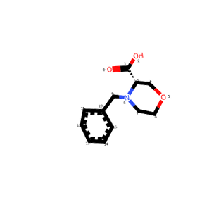 O=C(O)[C@@H]1COCCN1Cc1ccccc1